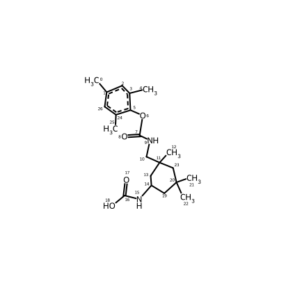 Cc1cc(C)c(OC(=O)NCC2(C)CC(NC(=O)O)CC(C)(C)C2)c(C)c1